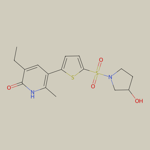 CCc1cc(-c2ccc(S(=O)(=O)N3CCC(O)C3)s2)c(C)[nH]c1=O